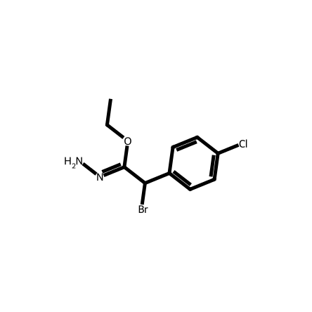 CCOC(=NN)C(Br)c1ccc(Cl)cc1